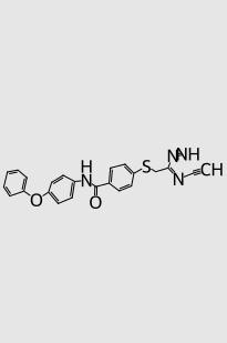 C#C/N=C(/CSc1ccc(C(=O)Nc2ccc(Oc3ccccc3)cc2)cc1)N=N